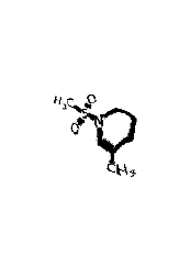 CC1=CN(S(C)(=O)=O)CCC1